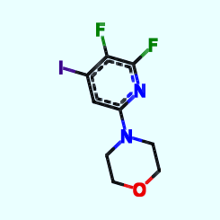 Fc1nc(N2CCOCC2)cc(I)c1F